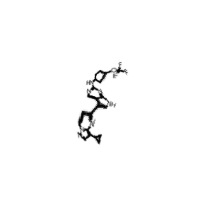 FC(F)(F)OC1CCC(Nc2ncc3c(-c4ccn5ncc(C6CC6)c5n4)c[nH]c3n2)CC1